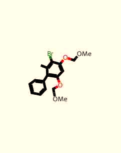 COCOc1cc(OCOC)c(-c2ccccc2)c(C)c1Br